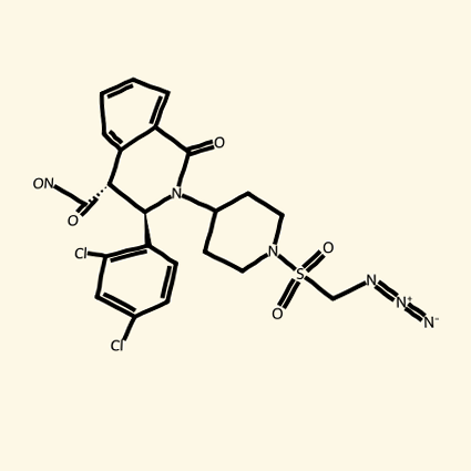 [N-]=[N+]=NCS(=O)(=O)N1CCC(N2C(=O)c3ccccc3[C@@H](C(=O)N=O)[C@@H]2c2ccc(Cl)cc2Cl)CC1